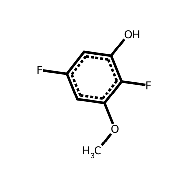 COc1cc(F)cc(O)c1F